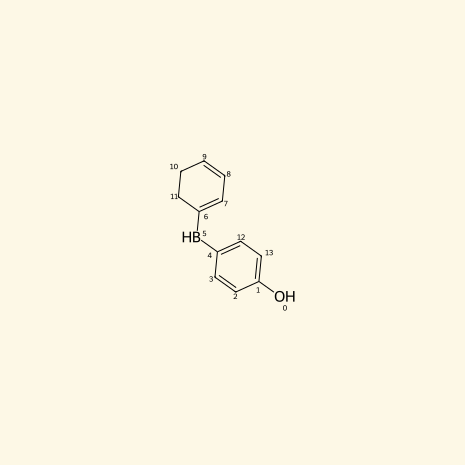 Oc1ccc(BC2=CC=CCC2)cc1